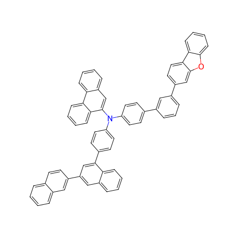 c1cc(-c2ccc(N(c3ccc(-c4cc(-c5ccc6ccccc6c5)cc5ccccc45)cc3)c3cc4ccccc4c4ccccc34)cc2)cc(-c2ccc3c(c2)oc2ccccc23)c1